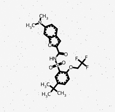 CN(C)c1ccc2cc(C(=O)NS(=O)(=O)c3cc(C(C)(C)C)ccc3OCC(F)(F)F)oc2c1